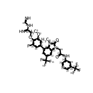 COc1cc(-c2cc(C(F)(F)F)cc3c2n(C)c(=O)n3CC(=O)Nc2cncc(C(F)(F)F)c2)cc(F)c1OCC(=N)NC=N